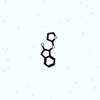 ClC1Cc2ccccc2C1OC1CCCO1